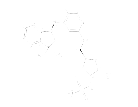 CC1(C)C[C@H](Nc2cc(NC[C@H]3C[C@H](O)[C@H](OS(N)(=O)=O)C3)ncn2)c2ccccc21